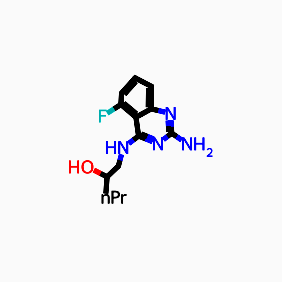 CCCC(O)CNc1nc(N)nc2cccc(F)c12